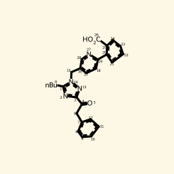 CCCCc1nc(C(=O)Cc2ccccc2)nn1Cc1ccc(-c2ccccc2C(=O)O)nc1